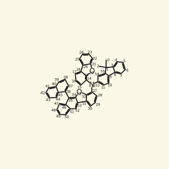 CC1(C)c2ccccc2-c2ccc(N(c3cccc4c3oc3ccccc34)c3cccc4c3oc3c(-c5cccc6ccccc56)c5ccccc5cc34)cc21